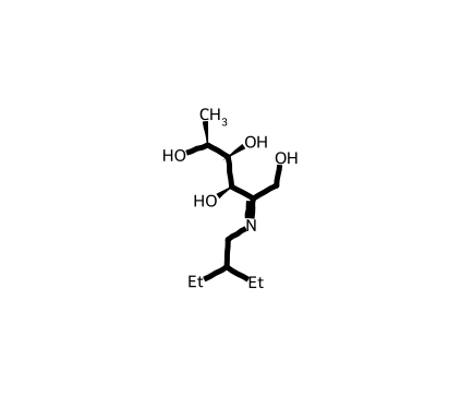 CCC(CC)CN=C(CO)[C@@H](O)[C@H](O)[C@H](C)O